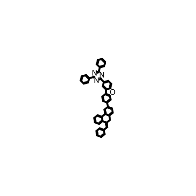 C(=C1\Cc2ccc(-c3ccc4c(c3)oc3ccc(-c5nc(-c6ccccc6)nc(-c6ccccc6)n5)cc34)cc2-c2ccccc21)/c1ccccc1